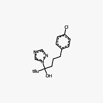 CC(C)(C)C(O)(CCCc1ccc(Cl)cc1)n1cncn1